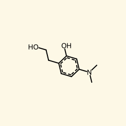 CN(C)c1ccc(CCO)c(O)c1